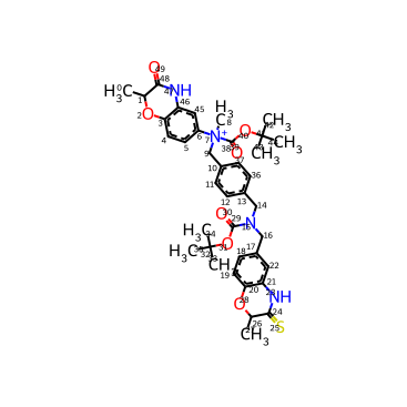 CC1Oc2ccc([N+](C)(Cc3ccc(CN(Cc4ccc5c(c4)NC(=S)C(C)O5)C(=O)OC(C)(C)C)cc3)C(=O)OC(C)(C)C)cc2NC1=O